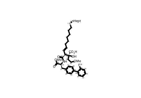 CCCCCCCSCCCCCC/C=C/[C@H](C(=O)N[C@@H](Cc1ccc(-c2ccccc2F)cc1)C(=O)OC)[C@@](O)(CCOC)C(=O)O